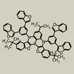 CC(C)c1cc2c3c(c1)N(c1cc(-c4coc5ccccc45)cc(-c4coc5ccccc45)c1)c1c(oc4ccc(C(C)(C)C)cc14)B3c1oc3ccc(C(C)(C)C)cc3c1N2c1cc(-c2coc3ccccc23)cc(-c2coc3ccccc23)c1